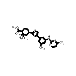 COC(=O)C1CCC(c2ncc(-c3cc(C)cc(Nc4nccc(C(F)(F)F)n4)c3)s2)CC1(C)C